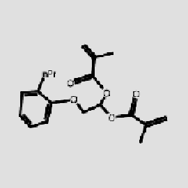 C=C(C)C(=O)OC(COc1ccccc1CCC)OC(=O)C(=C)C